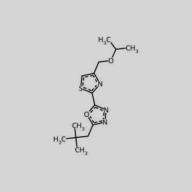 CC(C)OCc1csc(-c2nnc(CC(C)(C)C)o2)n1